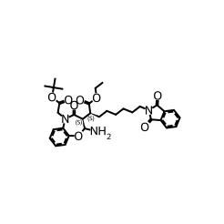 CCOC(=O)[C@@H](CCCCCCN1C(=O)c2ccccc2C1=O)[C@@H]1C(=O)N(CC(=O)OC(C)(C)C)c2ccccc2OC1N